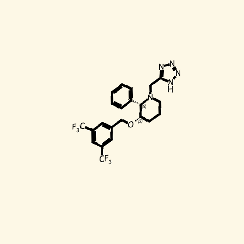 FC(F)(F)c1cc(CO[C@H]2CCCN(Cc3nnn[nH]3)[C@H]2c2ccccc2)cc(C(F)(F)F)c1